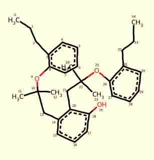 CCCc1ccccc1OC(C)(C)Cc1cccc(O)c1CC(C)(C)Oc1ccccc1CCC